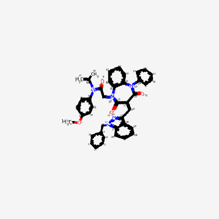 COc1ccc(N(C(=O)CN2C(=O)C(Cc3nn(Cc4ccccc4)c4ccccc34)C(=O)N(c3ccccc3)c3ccccc32)C(C)C)cc1